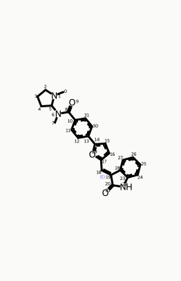 CN1CCCC1N(C)C(=O)c1ccc(-c2ccc(/C=C3/C(=O)Nc4ccccc43)o2)cc1